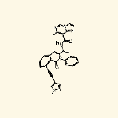 Cc1ncn2ccnc2c1C(=O)N[C@@H](C)c1cc2cccc(C#Cc3cnn(C)c3)c2c(=O)n1-c1ccccc1